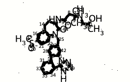 C[C@@H](O)CNC(C)(C)CC(=O)N[C@@H]1CCc2cc([S+](C)[O-])ccc2N(Cc2ccc(-c3ccccc3-c3nnn[nH]3)cc2)C1=O